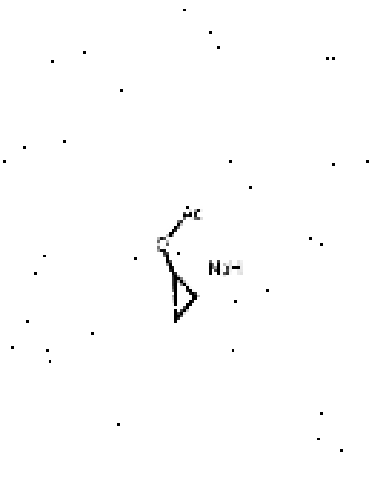 CC(=O)OC1CC1.[NaH]